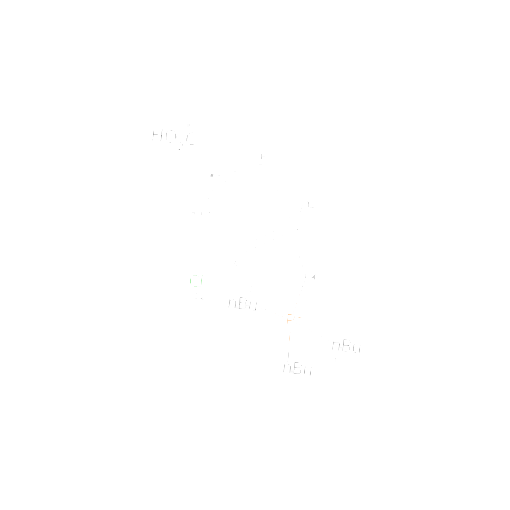 CCCC[P+](CCCC)(CCCC)Cc1ccc(C(=O)O)cc1.[Cl-]